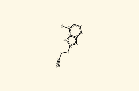 C#CCCn1cc2cccc(Cl)c2n1